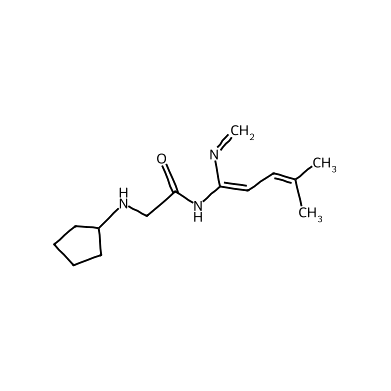 C=N/C(=C\C=C(C)C)NC(=O)CNC1CCCC1